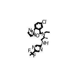 CCN(C(=O)c1cc(Cl)ccc1-n1nccn1)[C@@H](C)CNc1cnc(C(C)(F)F)cn1